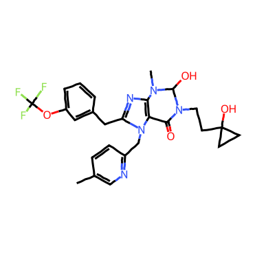 Cc1ccc(Cn2c(Cc3cccc(OC(F)(F)F)c3)nc3c2C(=O)N(CCC2(O)CC2)C(O)N3C)nc1